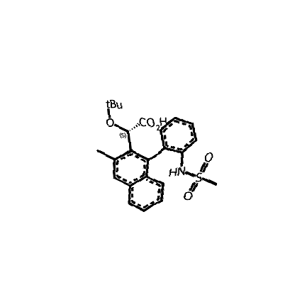 Cc1cc2ccccc2c(-c2ccccc2NS(C)(=O)=O)c1[C@H](OC(C)(C)C)C(=O)O